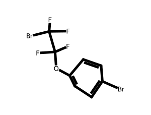 FC(F)(Br)C(F)(F)Oc1ccc(Br)cc1